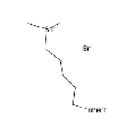 CCCCCCCCC[CH2][Sn+]([CH3])[CH3].[Br-]